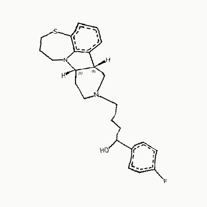 OC(CCCN1CC[C@H]2[C@@H](C1)c1cccc3c1N2CCCS3)c1ccc(F)cc1